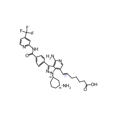 Nc1ncc(/C=C/CCCCC(=O)O)c2c1c(-c1ccc(C(=O)Nc3cc(C(F)(F)F)ccn3)cc1)nn2[C@@H]1CCC[C@@H](N)C1